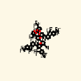 N#Cc1ccc(-c2ccc(-c3c(C(F)(F)F)cccc3C(F)(F)F)cc2-n2c3ccc(-c4ccc(C(F)(F)F)cc4C(F)(F)F)cc3c3cc(-c4ccc(C(F)(F)F)cc4C(F)(F)F)ccc32)c(-n2c3ccc(-c4ccc(C(F)(F)F)cc4C(F)(F)F)cc3c3cc(-c4ccc(C(F)(F)F)cc4C(F)(F)F)ccc32)c1